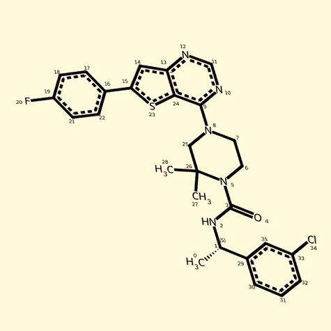 C[C@H](NC(=O)N1CCN(c2ncnc3cc(-c4ccc(F)cc4)sc23)CC1(C)C)c1cccc(Cl)c1